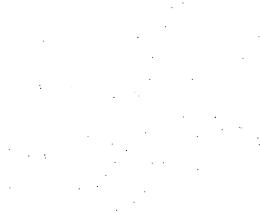 C[C@@H]1CN(c2cc(=O)c3ccc4ccccc4c3o2)C[C@H](C)O1